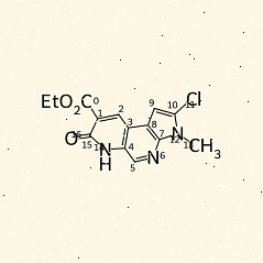 CCOC(=O)c1cc2c(cnc3c2cc(Cl)n3C)[nH]c1=O